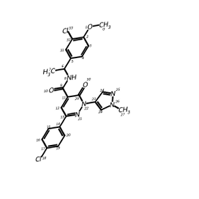 COc1ccc(C(C)NC(=O)c2cc(-c3ccc(Cl)cc3)nn(-c3cnn(C)c3)c2=O)cc1Cl